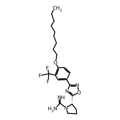 CCCCCCCCCOc1ccc(-c2noc([C@@H]3CCCN3C(=N)N)n2)cc1C(F)(F)F